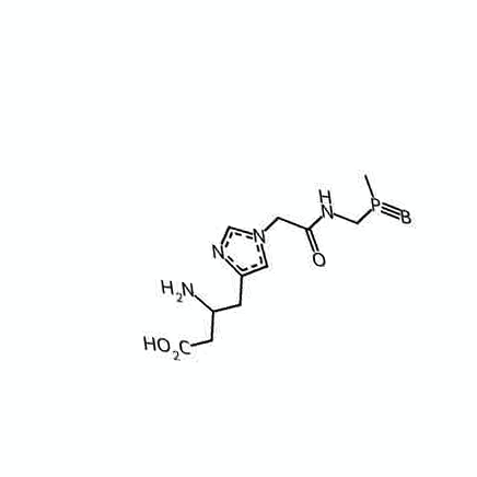 B#P(C)CNC(=O)Cn1cnc(CC(N)CC(=O)O)c1